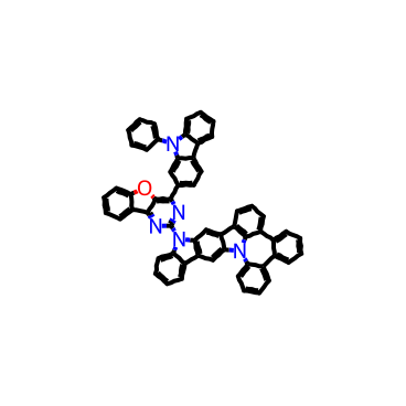 c1ccc(-n2c3ccccc3c3ccc(-c4nc(-n5c6ccccc6c6cc7c(cc65)c5cccc6c5n7-c5ccccc5-c5ccccc5-6)nc5c4oc4ccccc45)cc32)cc1